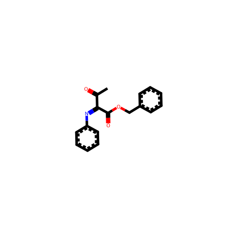 CC(=O)C(=Nc1ccccc1)C(=O)OCc1ccccc1